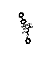 O=C(O)C(CC(O)CSc1ccccc1)NS(=O)(=O)c1ccc(-c2ccccc2)cc1